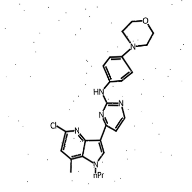 CCCn1cc(-c2ccnc(Nc3ccc(N4CCOCC4)cc3)n2)c2nc(Cl)cc(C)c21